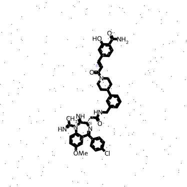 COc1ccc2c(c1)C(c1ccc(Cl)cc1)=N[C@@H](CC(=O)NCc1cccc(C3CCN(C(=O)/C=C/c4ccc(C(N)=O)c(O)c4)CC3)c1)C(=N)N2C(C)=N